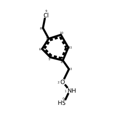 SNOCc1ccc(CCl)cc1